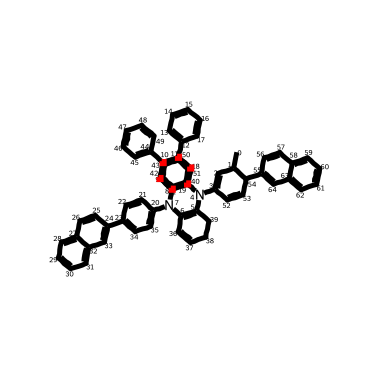 CC1C=C(N(C2=C(N(c3ccc(-c4ccccc4)cc3)c3ccc(-c4ccc5ccccc5c4)cc3)C=CCC2)c2ccc(-c3ccccc3)cc2)C=CC1c1ccc2ccccc2c1